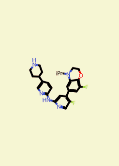 CC(C)N1CCOc2c(F)cc(-c3cc(Nc4ccc(C5CCNCC5)cn4)ncc3F)cc21